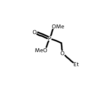 [CH2]COCP(=O)(OC)OC